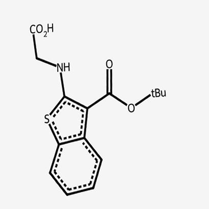 CC(C)(C)OC(=O)c1c(NCC(=O)O)sc2ccccc12